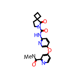 CNC(=O)c1cc(Oc2ccc(NC(=O)N3CCC4(CCC4)C3=O)nc2)ccn1